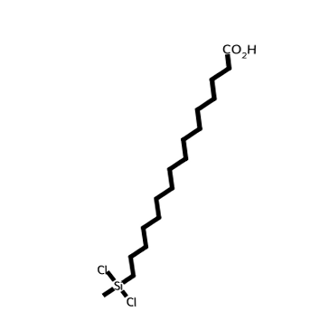 C[Si](Cl)(Cl)CCCCCCCCCCCCCCCC(=O)O